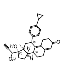 C#CC(O)[C@]1(O)CC[C@H]2[C@@H]3CCC4=CC(=O)CCC4=C3[C@@H](c3ccc(C4CC4)cc3)C[C@@]21C